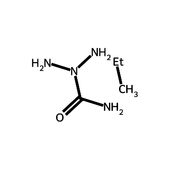 CCC.NC(=O)N(N)N